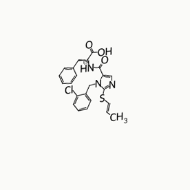 CC=CSc1ncc(C(=O)N[C@@H](Cc2ccccc2)C(=O)O)n1Cc1ccccc1Cl